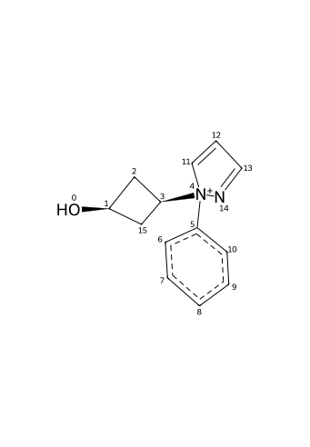 O[C@H]1C[C@@H]([N+]2(c3ccccc3)C=CC=N2)C1